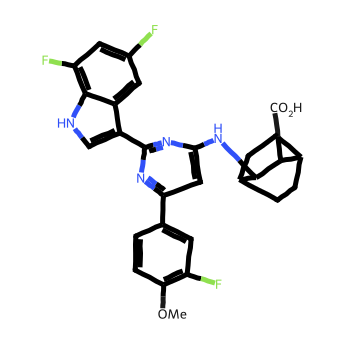 COc1ccc(-c2cc(NC3C4CCC(CC4)C3C(=O)O)nc(-c3c[nH]c4c(F)cc(F)cc34)n2)cc1F